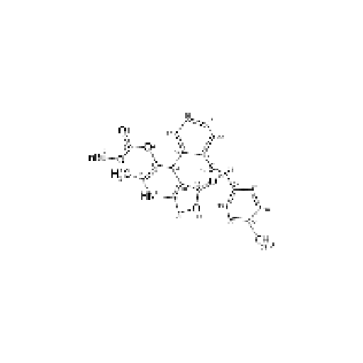 CCCCOC(=O)OC1=C(C)NC2=C(C(=O)OC2)C1c1ccccc1SCc1ccc(C)cc1